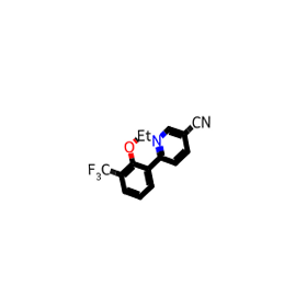 CCOc1c(-c2ccc(C#N)cn2)cccc1C(F)(F)F